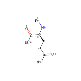 CCN[C@@H](CCC(=O)C(C)(C)C)C(=O)CC